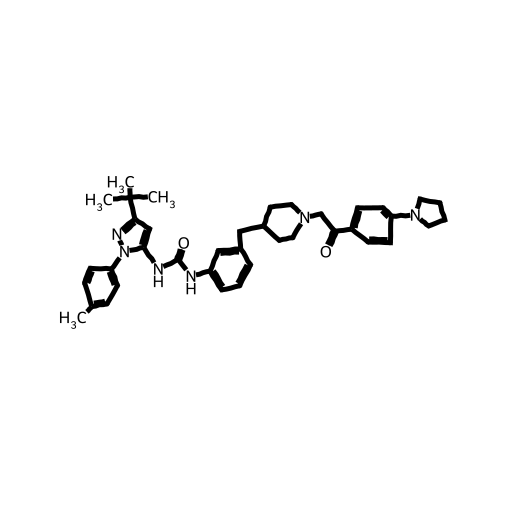 Cc1ccc(-n2nc(C(C)(C)C)cc2NC(=O)Nc2cccc(CC3CCN(CC(=O)c4ccc(N5CCCC5)cc4)CC3)c2)cc1